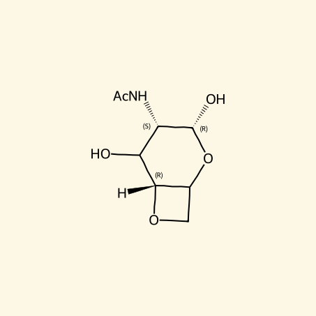 CC(=O)N[C@H]1C(O)[C@H]2OCC2O[C@H]1O